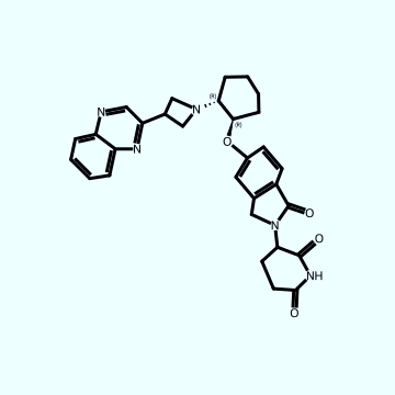 O=C1CCC(N2Cc3cc(O[C@@H]4CCCC[C@H]4N4CC(c5cnc6ccccc6n5)C4)ccc3C2=O)C(=O)N1